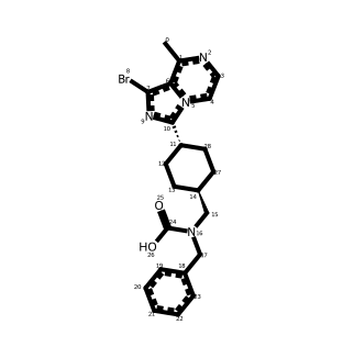 Cc1nccn2c1c(Br)nc2[C@H]1CC[C@H](CN(Cc2ccccc2)C(=O)O)CC1